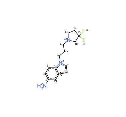 Nc1ccc2c(ccn2CCCN2CCC(F)(F)C2)c1